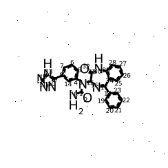 NC(=O)N(c1cccc(-c2nnn[nH]2)c1)C1N=C(c2ccccc2)c2ccccc2NC1=O